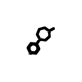 CN1CCCN(c2ccncc2)CC1